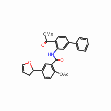 COC(=O)c1ccc(-c2ccccc2)cc1NC(=O)c1cc(C2CC=CO2)ccc1OC(C)=O